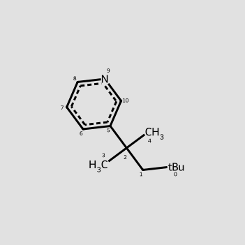 CC(C)(C)CC(C)(C)c1cccnc1